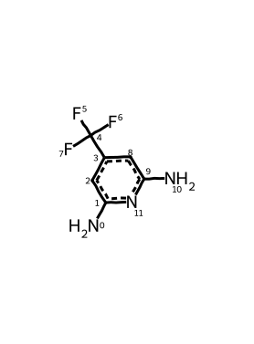 Nc1cc(C(F)(F)F)cc(N)n1